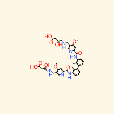 COc1cc(C(=O)Nc2cccc(-c3cccc(NC(=O)c4cc(OC)c(CNC[C@@H](O)CC(=O)O)cn4)c3C)c2C)ncc1CNC[C@@H](O)CC(=O)O